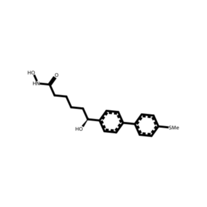 CSc1ccc(-c2ccc([C@@H](O)CCCCC(=O)NO)cc2)cc1